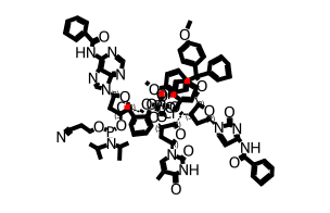 COc1ccc(C(OC[C@@H]2O[C@@H](n3ccc(NC(=O)c4ccccc4)nc3=O)C[C@@H]2C(OP(=O)(O)Oc2ccccc2Cl)[C@@H]2O[C@@H](n3cc(C)c(=O)[nH]c3=O)C[C@@H]2OP(=O)(OC[C@H]2O[C@@H](n3cnc4c(NC(=O)c5ccccc5)ncnc43)C[C@@H]2OP(OCCC#N)N(C(C)C)C(C)C)Oc2ccccc2Cl)(c2ccccc2)c2ccc(OC)cc2)cc1